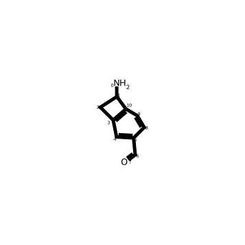 NC1Cc2cc(C=O)ccc21